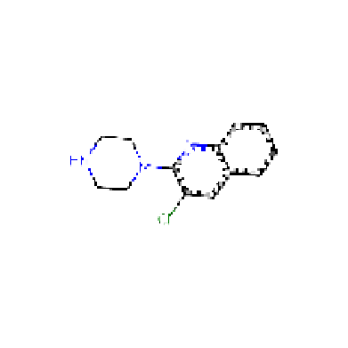 Clc1cc2ccccc2nc1N1CCNCC1